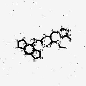 CCOC(=O)C(Cn1cnc(C)n1)OC(=O)Nc1c2c(cc3c1CCC3)CCC2